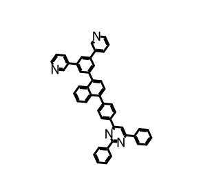 c1ccc(-c2cc(-c3ccc(-c4ccc(-c5cc(-c6cccnc6)cc(-c6cccnc6)c5)c5ccccc45)cc3)nc(-c3ccccc3)n2)cc1